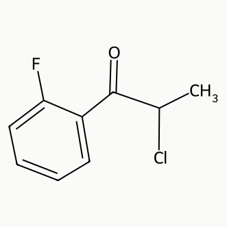 CC(Cl)C(=O)c1ccccc1F